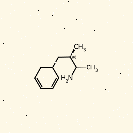 CC(N)[C@H](C)CC1C=CC=CC1